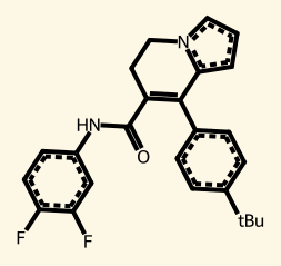 CC(C)(C)c1ccc(C2=C(C(=O)Nc3ccc(F)c(F)c3)CCn3cccc32)cc1